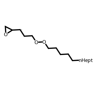 CCCCCCCCCCCCOOCC[CH]C1CO1